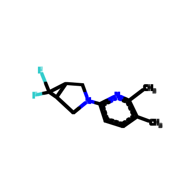 Cc1ccc(N2CC3C(C2)C3(F)F)nc1C